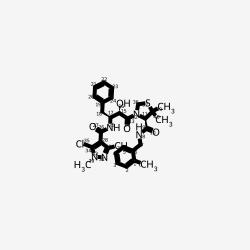 Cc1ccccc1CNC(=O)[C@H]1N(C(=O)[C@@H](O)[C@H](Cc2ccccc2)NC(=O)c2c(C)nn(C)c2Cl)CSC1(C)C